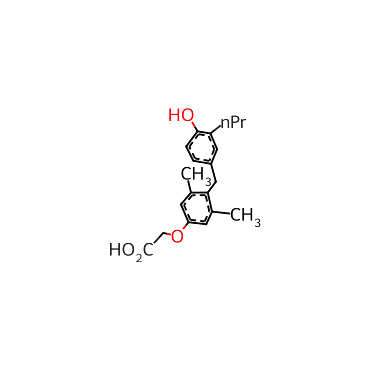 CCCc1cc(Cc2c(C)cc(OCC(=O)O)cc2C)ccc1O